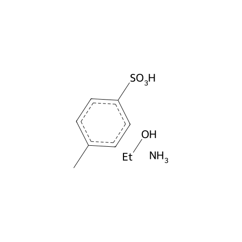 CCO.Cc1ccc(S(=O)(=O)O)cc1.N